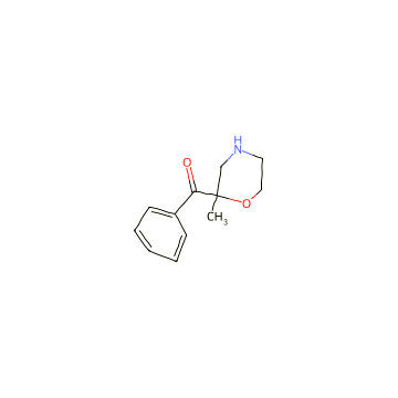 CC1(C(=O)c2ccccc2)CNCCO1